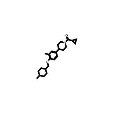 Cc1cc(C2CCN(C(=O)C3CC3)CC2)ccc1OCC1CCC(C)CC1